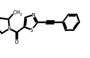 CC1CCCN1C(=O)c1cnc(C#Cc2ccccc2)s1